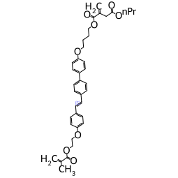 C=C(C)C(=O)OCCOc1ccc(/C=C/c2ccc(-c3ccc(OCCCCOC(=O)C(=C)CC(=O)OCCC)cc3)cc2)cc1